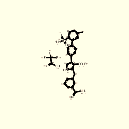 CCOC(=O)c1c(-c2ccc(-c3cc(C)ccc3S(N)(=O)=O)cc2)c[nH]c1Cc1cccc(C(=N)N)c1.O=C(O)C(F)(F)F